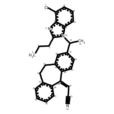 CCCc1nc2c(Cl)cccc2n1C(C)c1ccc2c(c1)CCc1ccccc1C2=CC#N